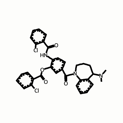 CN(C)C1CCCN(C(=O)c2ccc(NC(=O)c3ccccc3Cl)c(OC(=O)c3ccccc3Cl)c2)c2ccccc21